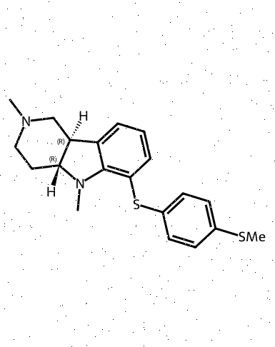 CSc1ccc(Sc2cccc3c2N(C)[C@@H]2CCN(C)C[C@@H]32)cc1